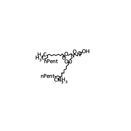 CCCCCC(C)CC(C)CCCCCCCC(=O)OCCN(CCOC(=O)CCCCCCCC(C)CC(C)CCCCC)C(=O)CN1CC(O)C1